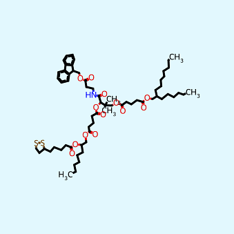 CCCCCCCCC(CCCCCC)COC(=O)CCCC(=O)OCC(C)(C)C(OC(=O)CCCC(=O)OCC(CCCCCC)OC(=O)CCCCC1CCSS1)C(=O)NCCC(=O)OCC1c2ccccc2-c2ccccc21